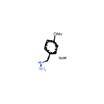 COc1ccc(CNN)cc1.[NaH]